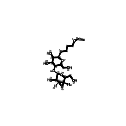 CCCCCCCCCCOCCCO[C@H]1OC(CO)[C@H](O[C@@H]2OC(CO)[C@@H]3O[C@H]3C2O)[C@@H](O)C1O